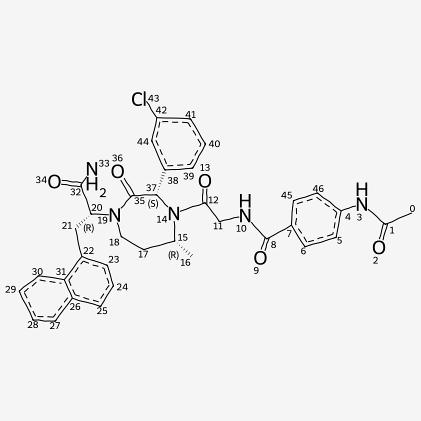 CC(=O)Nc1ccc(C(=O)NCC(=O)N2[C@H](C)CCN([C@H](Cc3cccc4ccccc34)C(N)=O)C(=O)[C@@H]2c2cccc(Cl)c2)cc1